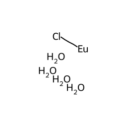 O.O.O.O.[Cl][Eu]